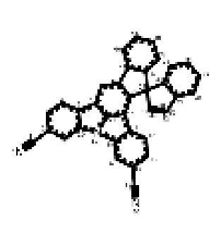 N#Cc1ccc2c3cc4c(c5c6ccc(C#N)cc6n(c2c1)c35)C1(c2ccccc2-c2ccccc21)c1ccccc1-4